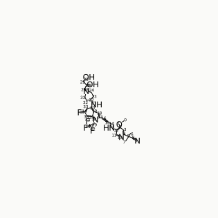 COc1cc(C(C)(C)C#N)ncc1NCC#Cc1cc2c(NC3CCN(CC(O)CO)CC3)cc(F)cc2n1CC(F)(F)F